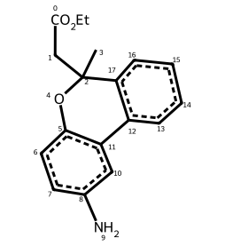 CCOC(=O)CC1(C)Oc2ccc(N)cc2-c2ccccc21